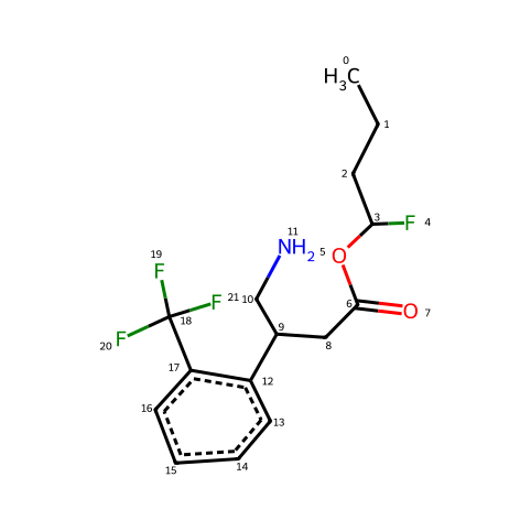 CCCC(F)OC(=O)CC(CN)c1ccccc1C(F)(F)F